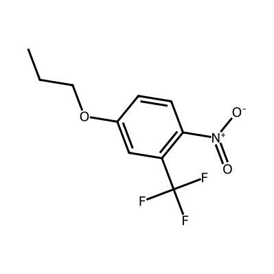 CCCOc1ccc([N+](=O)[O-])c(C(F)(F)F)c1